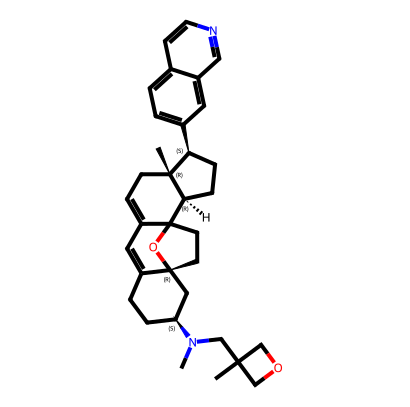 CN(CC1(C)COC1)[C@H]1CCC2=CC3=CC[C@]4(C)[C@@H](c5ccc6ccncc6c5)CC[C@H]4C34CC[C@]2(C1)O4